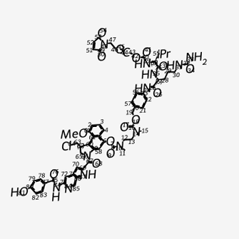 COc1cccc2c(OC(=O)N(C)CCN(C)C(=O)OCc3ccc(NC(=O)[C@H](CCCNC(N)=O)NC(=O)[C@@H](NC(=O)OCCOCCN4C(=O)C=CC4=O)C(C)C)cc3)cc3c(c12)[C@H](CCl)CN3C(=O)c1cc2cc(NC(=O)c3ccc(O)cc3)ncc2[nH]1